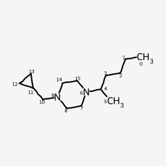 CCCCC(C)N1CCN(CC2CC2)CC1